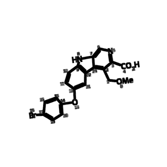 COCc1c(C(=O)O)ncc2[nH]c3ccc(Oc4ccc(Br)cc4)cc3c12